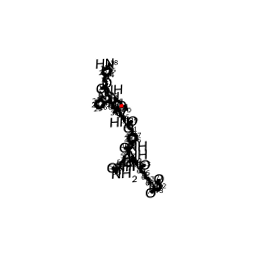 CCOCc1nc2c(NC(=O)OCc3ccc(NC)cc3)nc3ccccc3c2n1CC(C)(C)OCCNC(=O)OCc1ccc(NC(=O)[C@H](CCCNC(N)=O)NC(=O)CNC(=O)CCCCCN2C(=O)C=CC2=O)cc1